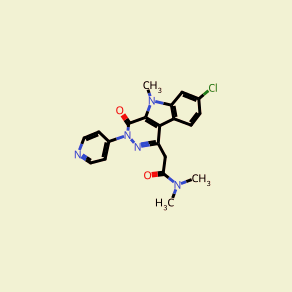 CN(C)C(=O)Cc1nn(-c2ccncc2)c(=O)c2c1c1ccc(Cl)cc1n2C